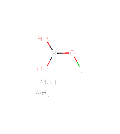 OB(O)OCl.[AlH3].[MgH2]